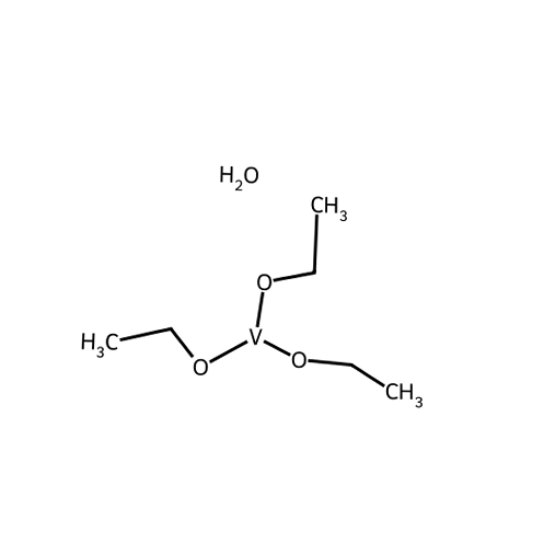 CC[O][V]([O]CC)[O]CC.O